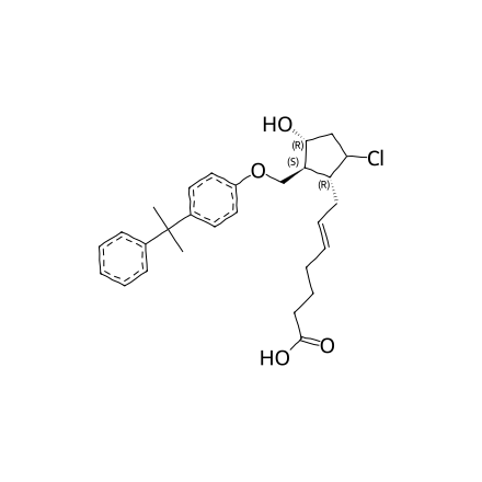 CC(C)(c1ccccc1)c1ccc(OC[C@H]2[C@H](O)CC(Cl)[C@@H]2CC=CCCCC(=O)O)cc1